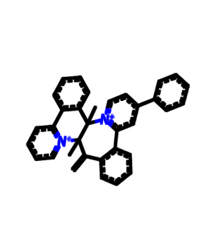 C=C1c2ccccc2-c2cc(-c3ccccc3)cc[n+]2C2(C)c3ccccc3-c3cccc[n+]3C12C